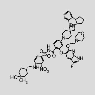 CC(C)c1ccccc1[C@H]1CCC[C@H]1N1CC2(CCN(c3ccc(C(=O)NS(=O)(=O)c4ccc(NC[C@H]5CC[C@](C)(O)CC5)c([N+](=O)[O-])c4)c(Oc4cc5c(F)c[nH]c5nc4OCCN4CCOCC4)c3)CC2)C1